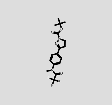 CN(C(=O)C(F)(F)F)c1ccc(C2=NN(C(=O)OC(C)(C)C)CC2)cc1